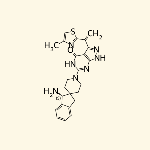 C=C(c1nc(C)cs1)c1n[nH]c2nc(N3CCC4(CC3)Cc3ccccc3[C@H]4N)[nH]c(=O)c12